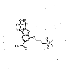 CN(C)S(=O)(=O)CCCOc1cc(C(N)=O)cc2c(Br)c(C(F)(F)P(=O)(O)O)sc12